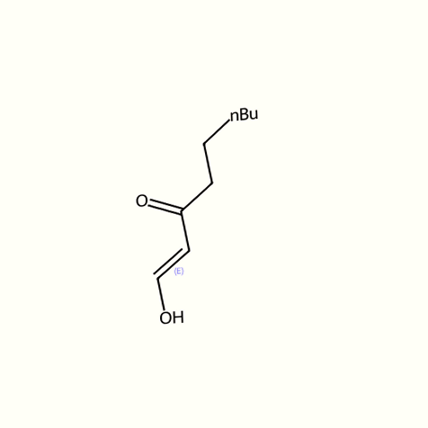 CCCCCCC(=O)/C=C/O